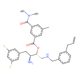 C=CCc1cccc(CNC[C@@H](OC(=O)c2cc(C)cc(C(=O)N(CCC)CCC)c2)[C@@H](N)Cc2cc(F)cc(F)c2)c1